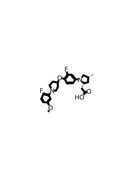 COc1ccc(F)c(N2CCC(Oc3ccc(N4C[C@H](C)C[C@@H]4CC(=O)O)cc3F)CC2)c1